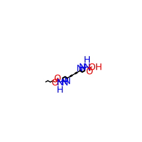 CCCCOC(=O)Nc1ccc(C#CC#Cc2ccc(NC(=O)O)nn2)nn1